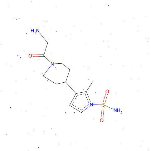 Cc1c(C2CCN(C(=O)CN)CC2)ccn1S(N)(=O)=O